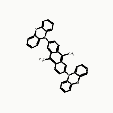 Cc1c2ccc(N3c4ccccc4Sc4ccccc43)cc2c(C)c2ccc(N3c4ccccc4Sc4ccccc43)cc12